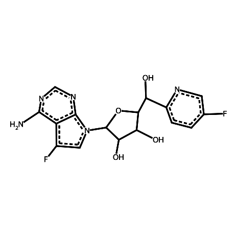 Nc1ncnc2c1c(F)cn2C1OC(C(O)c2ccc(F)cn2)C(O)C1O